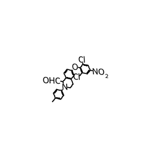 Cc1ccc(N2CCc3cc(Oc4c(Cl)cc([N+](=O)[O-])cc4Cl)ccc3C2C=O)cc1